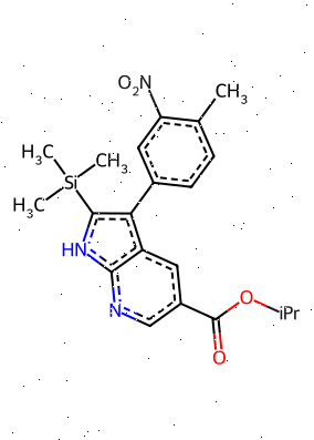 Cc1ccc(-c2c([Si](C)(C)C)[nH]c3ncc(C(=O)OC(C)C)cc23)cc1[N+](=O)[O-]